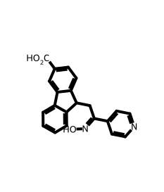 O=C(O)c1ccc2c(c1)-c1ccccc1C2C/C(=N\O)c1ccncc1